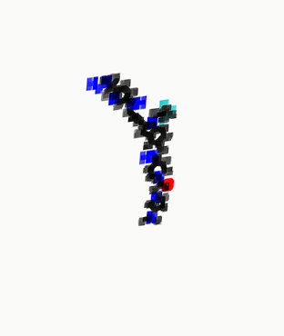 CN(C)C1CCN(CC(=O)N2CCC(NCC3=CCC4C(=C3)C=C(C#CCNc3ccc(C(C)(C)N)nc3)N4CC(F)(F)F)CC2)C1